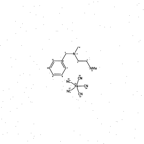 CNCCN(C)Cc1ccccc1.N#[C][Fe]([C]#N)([C]#N)([C]#N)[C]#N